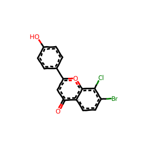 O=c1cc(-c2ccc(O)cc2)oc2c(Cl)c(Br)ccc12